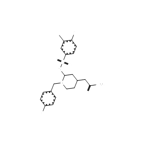 COC(=O)CC1CCN(Cc2ccc(F)cc2)C(NS(=O)(=O)c2ccc(F)c(C)c2)C1